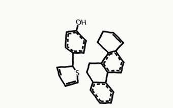 C1=Cc2ccc3c(c2CC1)CCc1ccccc1-3.Oc1ccc(C2C=CC=CS2)cc1